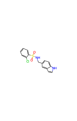 O=S(=O)(NCc1ccc2[nH]ccc2c1)c1ccccc1Cl